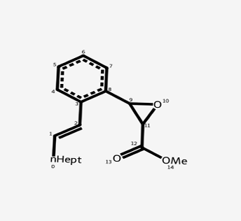 CCCCCCCC=Cc1ccccc1C1OC1C(=O)OC